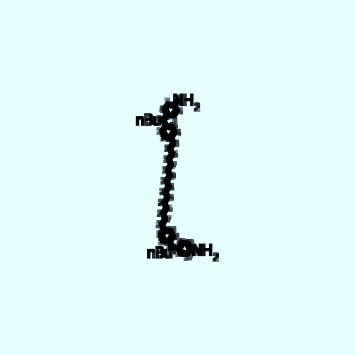 CCCCC(c1ccc(N)cc1)c1ccc(CCCCCCCCCCCCCCCCc2ccc(C(CCCC)c3ccc(N)cc3)cc2)cc1